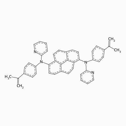 C=C(C)c1ccc(N(c2ccccn2)c2ccc3ccc4c(N(c5ccc(C(=C)C)cc5)c5ccccn5)ccc5ccc2c3c54)cc1